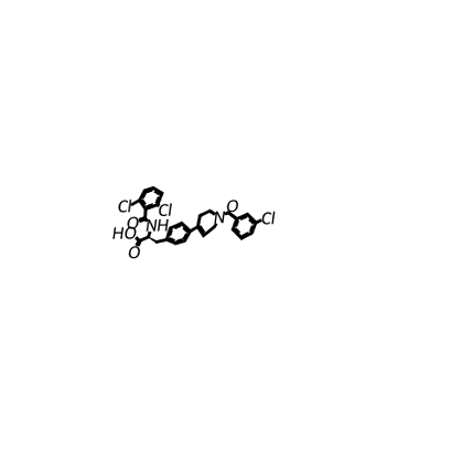 O=C(N[C@@H](Cc1ccc(C2=CCN(C(=O)c3cccc(Cl)c3)CC2)cc1)C(=O)O)c1c(Cl)cccc1Cl